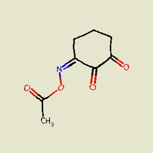 CC(=O)O/N=C1/CCCC(=O)C1=O